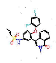 CC=CS(=O)(=O)Nc1ccc(Oc2ccc(F)cc2F)c(-c2cn(C)c(=O)c3ccccc23)c1